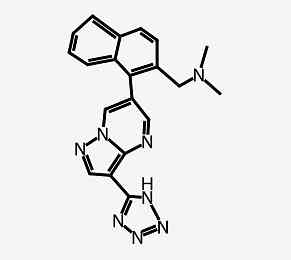 CN(C)Cc1ccc2ccccc2c1-c1cnc2c(-c3nnn[nH]3)cnn2c1